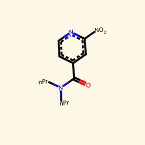 CCCN(CCC)C(=O)c1ccnc([N+](=O)[O-])c1